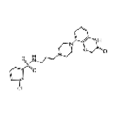 O=C1COc2c(cccc2N2CCN(CCCNS(=O)(=O)c3cccc(Cl)c3)CC2)N1